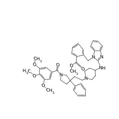 COC(=O)c1ccccc1Cn1c(NC2CCN(CCC3(c4ccccc4)CCN(C(=O)c4cc(OC)c(OC)c(OC)c4)C3)CC2)nc2ccccc21